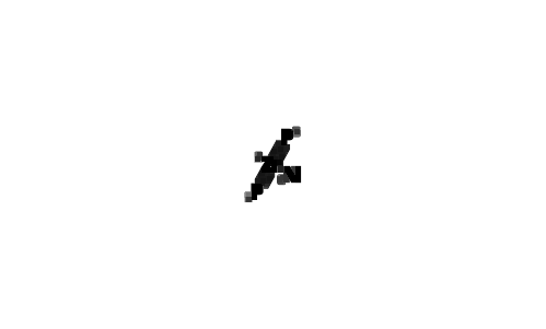 [Ni].[P]#[Zn]#[P]